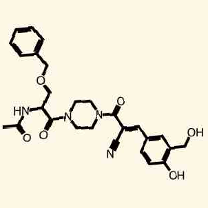 CC(=O)NC(COCc1ccccc1)C(=O)N1CCN(C(=O)C(C#N)=Cc2ccc(O)c(CO)c2)CC1